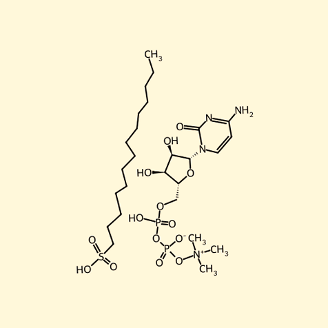 CCCCCCCCCCCCCCS(=O)(=O)O.C[N+](C)(C)OP(=O)([O-])OP(=O)(O)OC[C@H]1O[C@@H](n2ccc(N)nc2=O)[C@H](O)[C@@H]1O